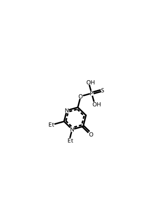 CCc1nc(OP(O)(O)=S)cc(=O)n1CC